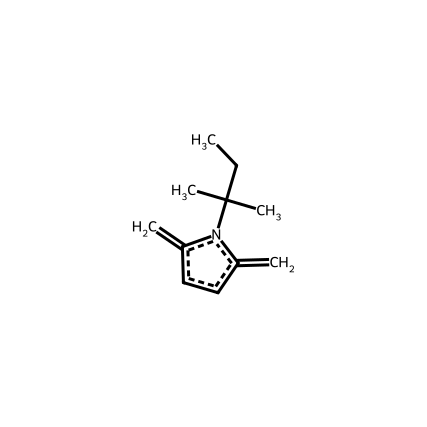 C=c1ccc(=C)n1C(C)(C)CC